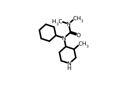 CC1CNCCC1N(C(=O)N(C)C)C1CCCCC1